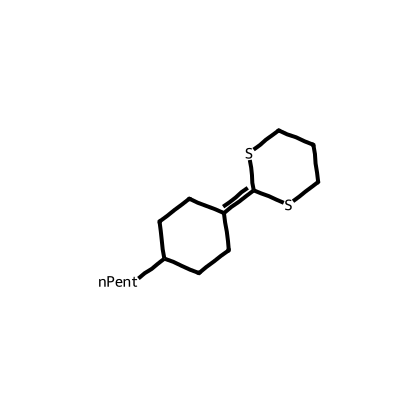 CCCCCC1CCC(=C2SCCCS2)CC1